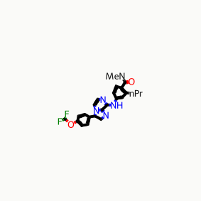 CCCc1cc(NC2=NC=CN3C2=NCC3c2ccc(OC(F)F)cc2)ccc1C(=O)NC